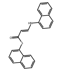 O=C(C=CNc1cccc2ccccc12)Sc1cccc2ccccc12